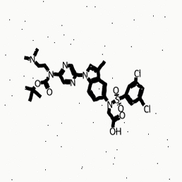 Cc1cn(-c2cnc(N(CCN(C)C)C(=O)OC(C)(C)C)cn2)c2ccc(N(CC(=O)O)S(=O)(=O)c3cc(Cl)cc(Cl)c3)cc12